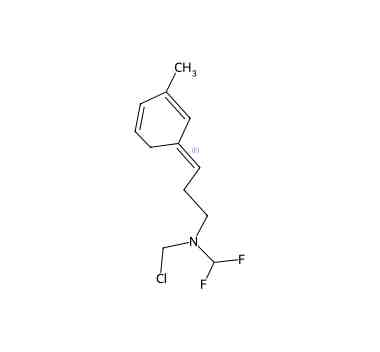 CC1=C/C(=C/CCN(CCl)C(F)F)CC=C1